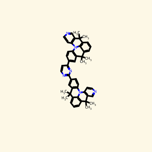 CC1(C)c2cnccc2N2c3ccc(-c4ccnc(-c5ccc6c(c5)C(C)(C)c5cccc7c5N6c5ccncc5C7(C)C)n4)cc3C(C)(C)c3cccc1c32